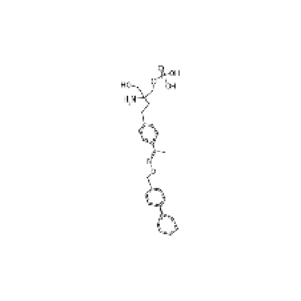 C/C(=N\OCc1ccc(-c2ccccc2)cc1)c1ccc(CCC(N)(CO)COP(=O)(O)O)cc1